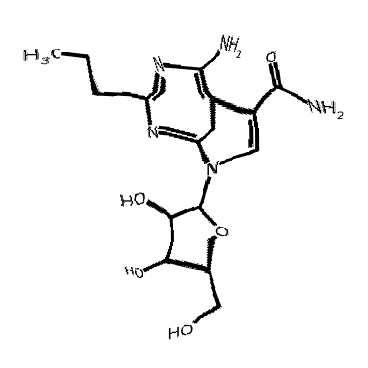 CCCc1nc(N)c2c(C(N)=O)cn(C3OC(CO)C(O)C3O)c2n1